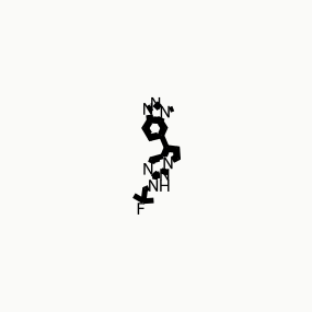 Cn1nnc2ccc(-c3ccn4nc(NCC(C)(C)F)ncc34)cc21